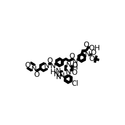 CC(C)(C)OC(=O)n1c(C(=O)O)cc2cc(NC(=O)C(Cc3ccc(NC(=O)N4CCC(C(=O)N5CCOCC5)CC4)cc3)N3CCN(c4cc(Cl)ccc4-n4cnnn4)C(=O)C3=O)ccc21